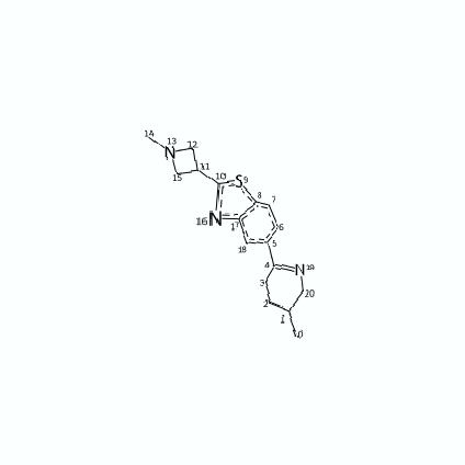 CC1CCC(c2ccc3sc(C4CN(C)C4)nc3c2)=NC1